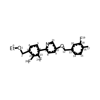 CCOCc1ccc(-c2ccc(OCc3ccc(C)c(F)c3)cn2)c(F)c1F